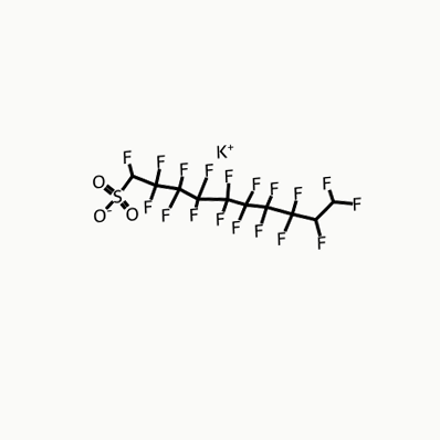 O=S(=O)([O-])C(F)C(F)(F)C(F)(F)C(F)(F)C(F)(F)C(F)(F)C(F)(F)C(F)(F)C(F)C(F)F.[K+]